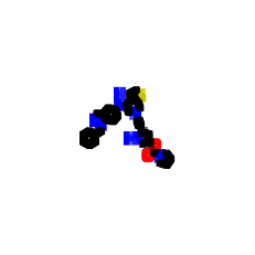 O=C(O[C@H]1CN[C@@H](C#CN2C=C(Nc3ccc4c(cnn4Cc4ccccc4)c3)c3ccsc3C2)C1)N1CCCC1